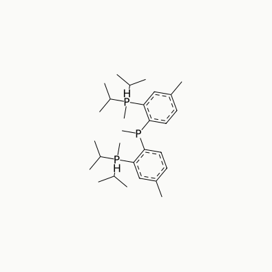 Cc1ccc(P(C)c2ccc(C)cc2[PH](C)(C(C)C)C(C)C)c([PH](C)(C(C)C)C(C)C)c1